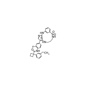 CCc1cccc(C2(C(=O)Nc3ccc(-c4cnc5nc4NCCCNS(=O)(=O)c4cccc(c4)N5)cc3F)CCC2)c1